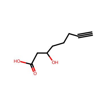 C#CCCCC(O)CC(=O)O